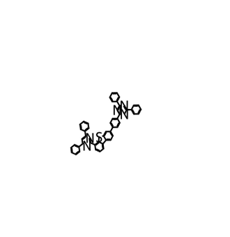 c1ccc(-c2cc(-c3ccccc3)nc(-c3cccc4c3sc3cc(-c5ccc(-c6nc(-c7ccccc7)nc(-c7ccccc7)n6)cc5)ccc34)n2)cc1